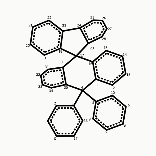 c1ccc(C2(c3ccccc3)c3ccccc3C3(c4ccccc4-c4ccccc43)c3ccccc32)cc1